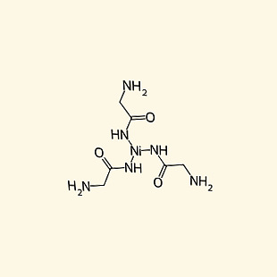 NCC(=O)[NH][Ni]([NH]C(=O)CN)[NH]C(=O)CN